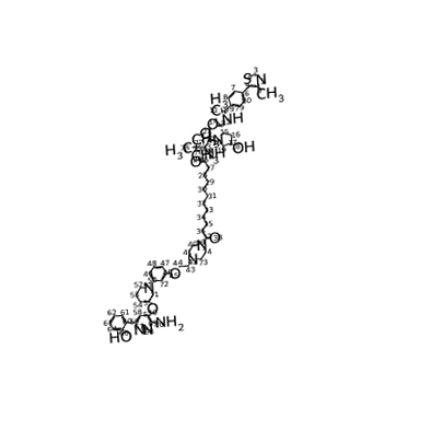 Cc1ncsc1-c1ccc([C@H](C)NC(=O)[C@@H]2C[C@@H](O)CN2C(=O)[C@@H](NC(=O)CCCCCCCCCCC(=O)N2CCN(CCOc3cccc(N4CCCC(Oc5cc(-c6ccccc6O)nnc5N)C4)c3)CC2)C(C)(C)C)cc1